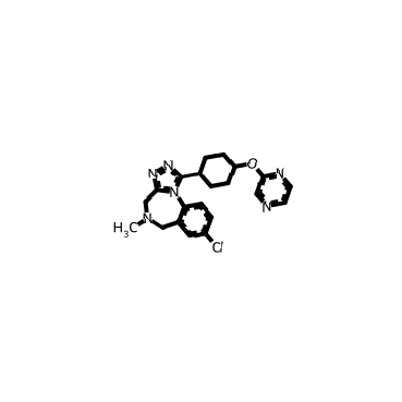 CN1Cc2cc(Cl)ccc2-n2c(nnc2C2CCC(Oc3cnccn3)CC2)C1